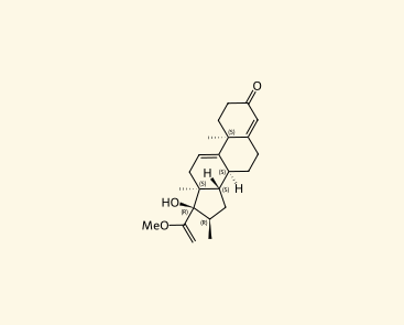 C=C(OC)[C@@]1(O)[C@H](C)C[C@H]2[C@@H]3CCC4=CC(=O)CC[C@]4(C)C3=CC[C@@]21C